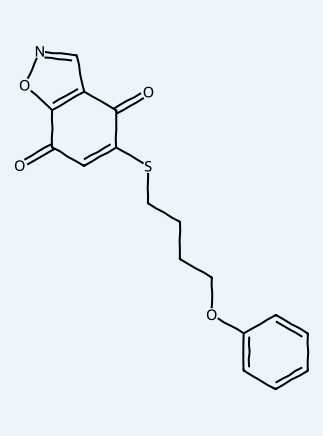 O=C1C(SCCCCOc2ccccc2)=CC(=O)c2oncc21